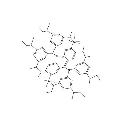 CCC(C)c1cc(C(C)CC)cc(N(c2cc(C(C)CC)cc(C(C)CC)c2)c2c3ccc(C(C)(C)C)cc3c(N(c3cc(C(C)CC)cc(C(C)CC)c3)c3cc(C(C)CC)cc(C(C)CC)c3)c3ccc(C(C)(C)C)cc23)c1